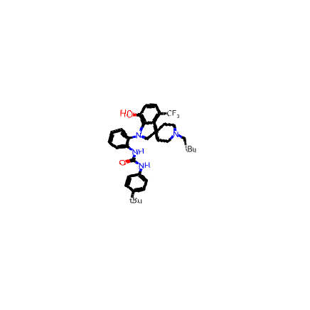 CC(C)(C)CN1CCC2(CC1)CN(c1ccccc1NC(=O)Nc1ccc(C(C)(C)C)cc1)c1c(O)ccc(C(F)(F)F)c12